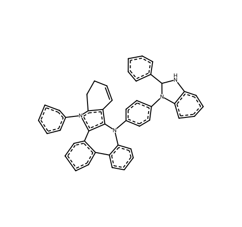 C1=Cc2c3c(n(-c4ccccc4)c2CC1)-c1ccccc1-c1ccccc1N3c1ccc(N2c3ccccc3NC2c2ccccc2)cc1